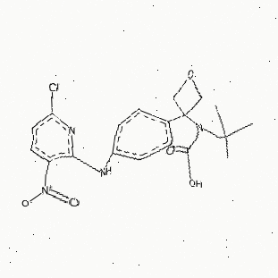 CC(C)(C)N(C(=O)O)C1(c2ccc(Nc3nc(Cl)ccc3[N+](=O)[O-])cc2)COC1